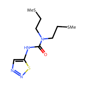 CSCCN(CCSC)C(=O)Nc1cnns1